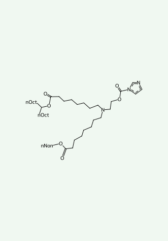 CCCCCCCCCOC(=O)CCCCCCCN(CCCCCCCC(=O)OC(CCCCCCCC)CCCCCCCC)CCOC(=O)n1ccnc1